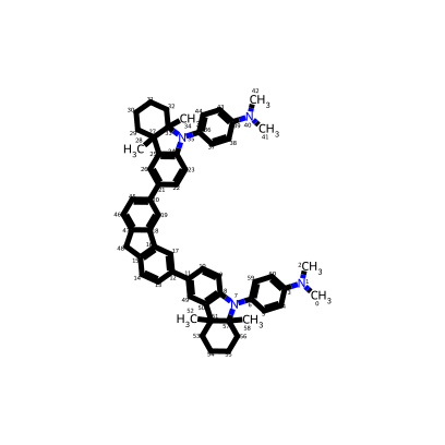 CN(C)c1ccc(N2c3ccc(-c4ccc5c(c4)-c4cc(-c6ccc7c(c6)C6(C)CCCCC6(C)N7c6ccc(N(C)C)cc6)ccc4C5)cc3C3(C)CCCCC23C)cc1